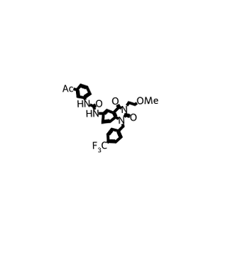 COCCn1c(=O)c2cc(NC(=O)Nc3cccc(C(C)=O)c3)ccc2n(Cc2ccc(C(F)(F)F)cc2)c1=O